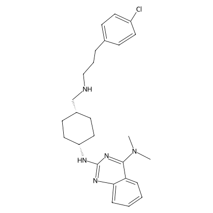 CN(C)c1nc(N[C@H]2CC[C@@H](CNCCCc3ccc(Cl)cc3)CC2)nc2ccccc12